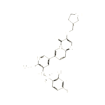 COc1ncc(-c2ccc3ncc(OCC4CCNC4)c(=O)n3c2)cc1NS(=O)(=O)c1ccc(F)cc1Cl